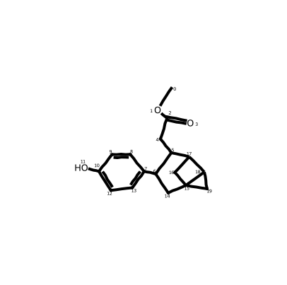 COC(=O)CC1C(c2ccc(O)cc2)CC23CC1C2C3